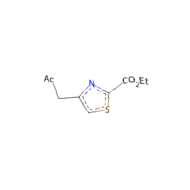 CCOC(=O)c1nc(CC(C)=O)cs1